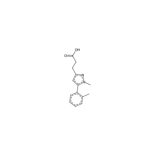 Cc1ccccc1-c1cc(CCC(=O)O)nn1C